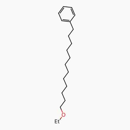 CCOCCCCCCCCCCCCc1ccccc1